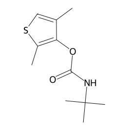 Cc1csc(C)c1OC(=O)NC(C)(C)C